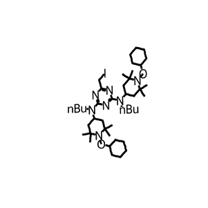 CCCCN(c1nc(CI)nc(N(CCCC)C2CC(C)(C)N(OC3CCCCC3)C(C)(C)C2)n1)C1CC(C)(C)N(OC2CCCCC2)C(C)(C)C1